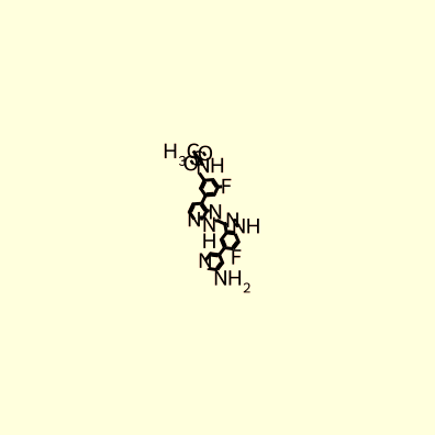 CS(=O)(=O)NCc1cc(F)cc(-c2ccnc3[nH]c(-c4n[nH]c5cc(F)c(-c6cncc(N)c6)cc45)nc23)c1